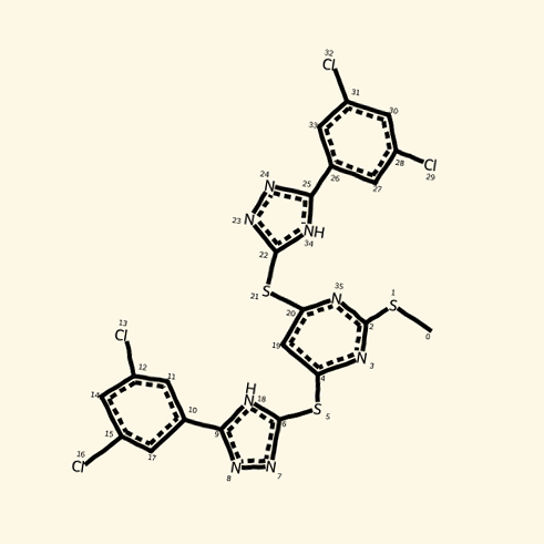 CSc1nc(Sc2nnc(-c3cc(Cl)cc(Cl)c3)[nH]2)cc(Sc2nnc(-c3cc(Cl)cc(Cl)c3)[nH]2)n1